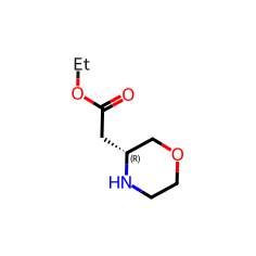 CCOC(=O)C[C@@H]1COCCN1